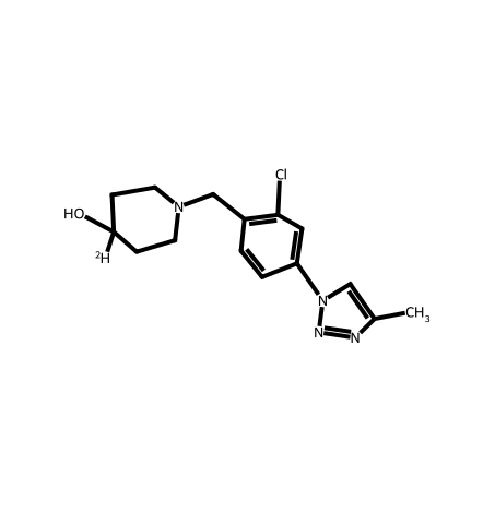 [2H]C1(O)CCN(Cc2ccc(-n3cc(C)nn3)cc2Cl)CC1